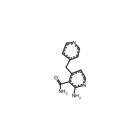 NC(=O)c1c(Cc2ccncc2)ccnc1N